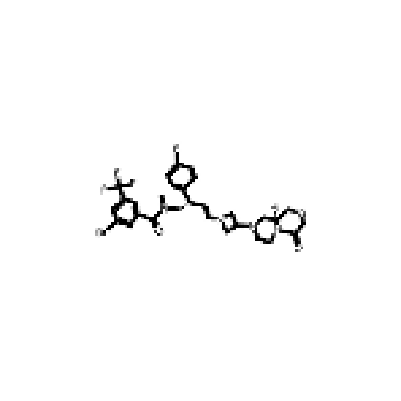 CN(C[C@@H](CCN1CC(N2CCN3C(=O)COC[C@@H]3C2)C1)c1ccc(F)cc1)C(=O)c1cc(Br)cc(C(F)(F)F)c1